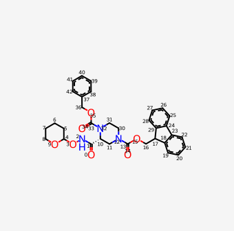 O=C(NOC1CCCCO1)[C@H]1CN(C(=O)OCC2c3ccccc3-c3ccccc32)CCN1C(=O)OCc1ccccc1